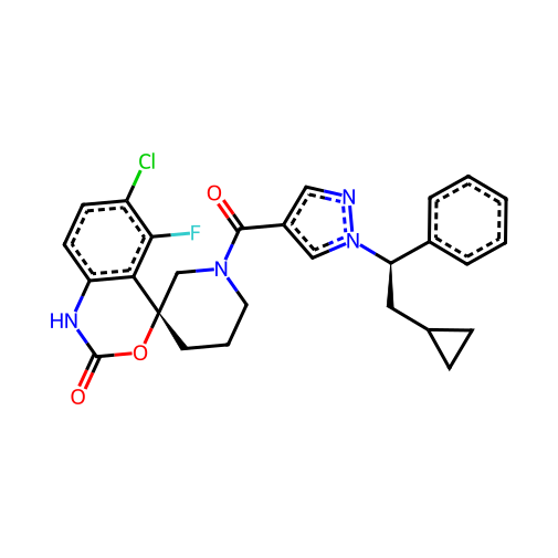 O=C1Nc2ccc(Cl)c(F)c2[C@@]2(CCCN(C(=O)c3cnn([C@H](CC4CC4)c4ccccc4)c3)C2)O1